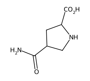 NC(=O)C1CNC(C(=O)O)C1